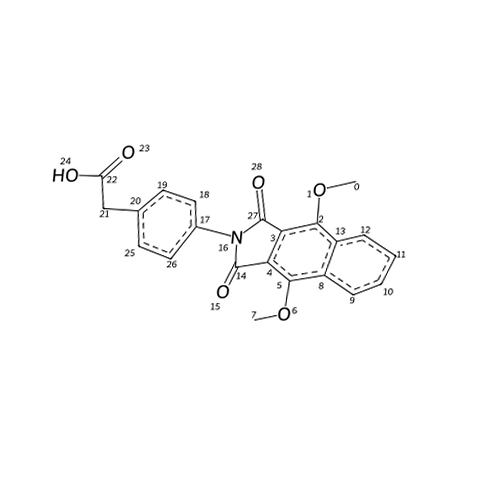 COc1c2c(c(OC)c3ccccc13)C(=O)N(c1ccc(CC(=O)O)cc1)C2=O